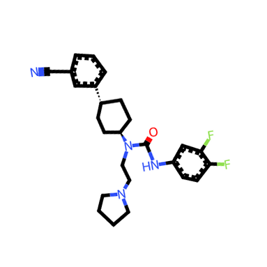 N#Cc1cccc([C@H]2CC[C@H](N(CCN3CCCC3)C(=O)Nc3ccc(F)c(F)c3)CC2)c1